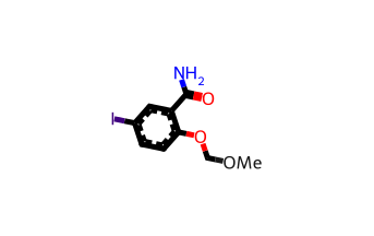 COCOc1ccc(I)cc1C(N)=O